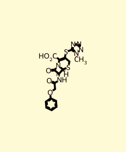 Cn1nnnc1SC1=C(C(=O)O)N2C(=O)[C@@H](NC(=O)COc3ccccc3)[C@H]2SC1